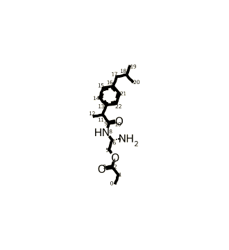 CCC(=O)OC[C@@H](N)NC(=O)C(C)c1ccc(CC(C)C)cc1